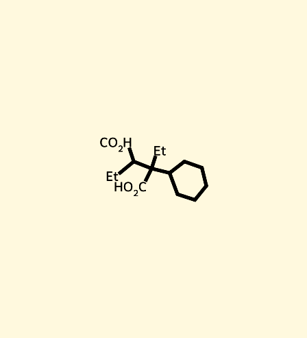 CCC(C(=O)O)C(CC)(C(=O)O)C1CCCCC1